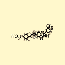 Cc1cc(C(=O)O)cc(C)c1/C=C/S(=O)(=O)N1CCC2(CC1)N=C(c1ccc(F)c(C(F)(F)F)c1)NC2=O